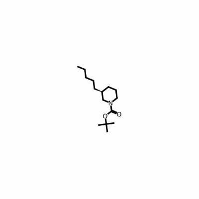 CCCCC[C@H]1CCCN(C(=O)OC(C)(C)C)C1